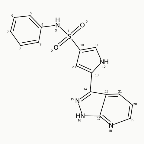 O=S(=O)(Nc1ccccc1)c1c[nH]c(-c2n[nH]c3ncccc23)c1